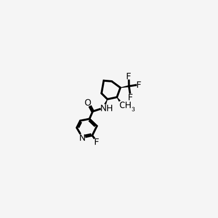 C[C@H]1[C@@H](NC(=O)c2ccnc(F)c2)CCC[C@H]1C(F)(F)F